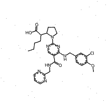 CCCCC(C(=O)O)C1CCCN1c1ncc(C(=O)NCc2ncccn2)c(NCc2ccc(OC)c(Cl)c2)n1